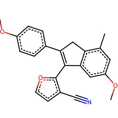 COc1ccc(C2=C(c3occc3C#N)c3cc(OC)cc(C)c3C2)cc1